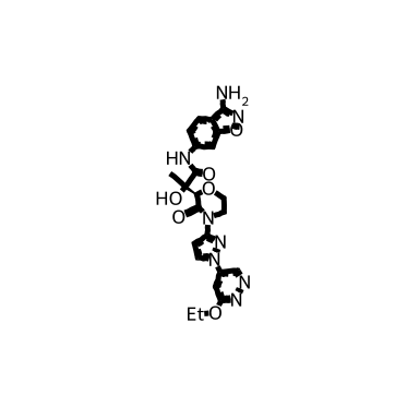 CCOc1cc(-n2ccc(N3CCO[C@H](C(C)(O)C(=O)Nc4ccc5c(N)noc5c4)C3=O)n2)cnn1